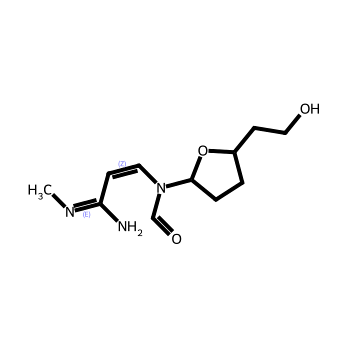 C/N=C(N)\C=C/N(C=O)C1CCC(CCO)O1